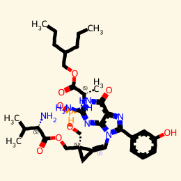 CCCC(CCC)COC(=O)[C@H](C)N[PH](=O)OC[C@@]1(COC(=O)[C@@H](N)C(C)C)C/C1=C/n1c(-c2cccc(O)c2)nc2c(=O)[nH]c(N)nc21